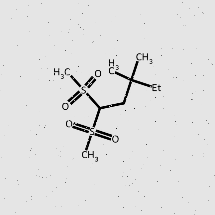 CCC(C)(C)CC(S(C)(=O)=O)S(C)(=O)=O